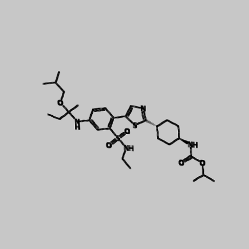 CCNS(=O)(=O)c1cc(NC(C)(CC)OCC(C)C)ccc1-c1cnc([C@H]2CC[C@H](NC(=O)OC(C)C)CC2)s1